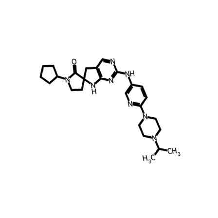 CC(C)N1CCN(c2ccc(Nc3ncc4c(n3)NC3(CCN(C5CCCC5)C3=O)C4)cn2)CC1